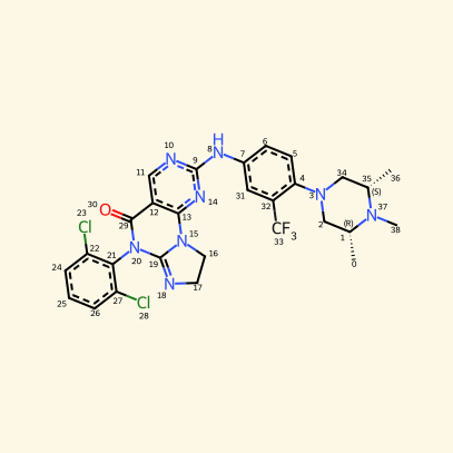 C[C@@H]1CN(c2ccc(Nc3ncc4c(n3)N3CCN=C3N(c3c(Cl)cccc3Cl)C4=O)cc2C(F)(F)F)C[C@H](C)N1C